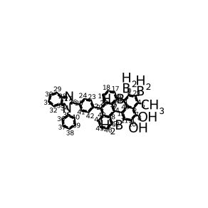 Bc1c(B)c(C)c2c(O)c(O)c(B)c(-c3c4ccccc4c(-c4ccc(-c5nc6ccccc6n5-c5ccccc5)cc4)c4ccccc34)c2c1B